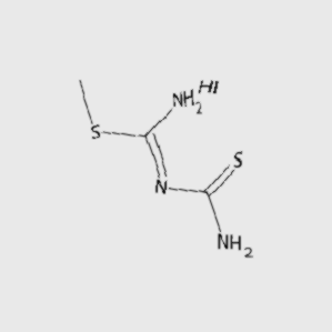 CS/C(N)=N/C(N)=S.I